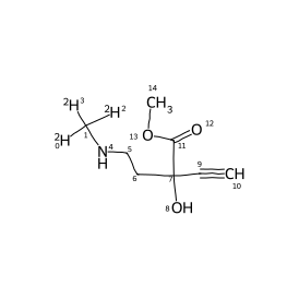 [2H]C([2H])([2H])NCCC(O)(C#C)C(=O)OC